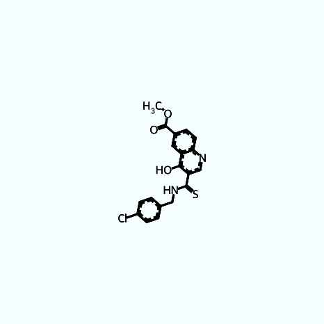 COC(=O)c1ccc2ncc(C(=S)NCc3ccc(Cl)cc3)c(O)c2c1